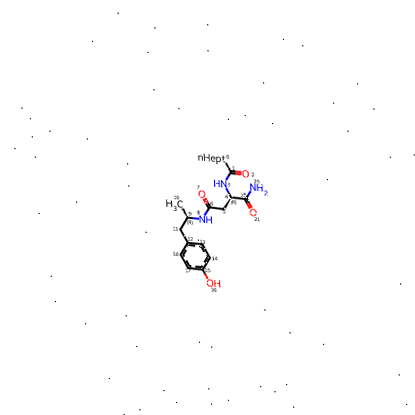 CCCCCCCC(=O)N[C@H](CC(=O)N[C@H](C)Cc1ccc(O)cc1)C(N)=O